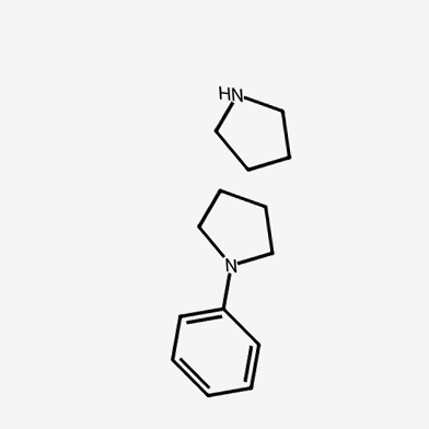 C1CCNC1.c1ccc(N2CCCC2)cc1